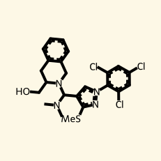 CSc1nn(-c2c(Cl)cc(Cl)cc2Cl)cc1C(N(C)C)N1Cc2ccccc2CC1CO